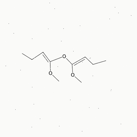 CC/C=C(\OC)O/C(=C/CC)OC